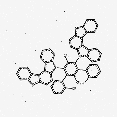 N#Cc1ccccc1-c1c(-n2c3ccccc3c3c4c(ccc32)sc2ccccc24)c(C(F)(F)F)c(-n2c3ccccc3c3c4c(ccc32)sc2ccccc24)c(-c2ccccc2C#N)c1C(F)(F)F